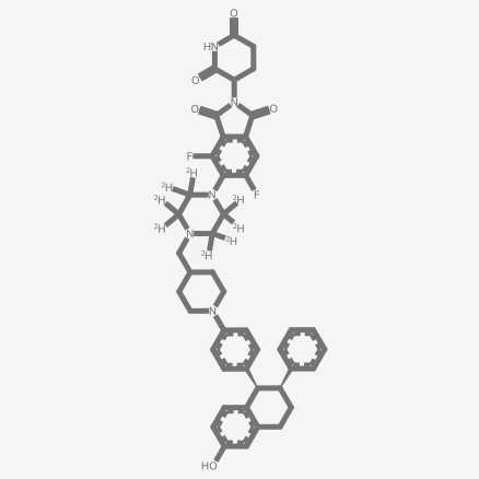 [2H]C1([2H])N(CC2CCN(c3ccc([C@@H]4c5ccc(O)cc5CC[C@@H]4c4ccccc4)cc3)CC2)C([2H])([2H])C([2H])([2H])N(c2c(F)cc3c(c2F)C(=O)N(C2CCC(=O)NC2=O)C3=O)C1([2H])[2H]